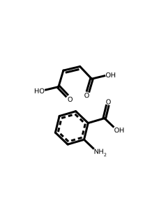 Nc1ccccc1C(=O)O.O=C(O)/C=C\C(=O)O